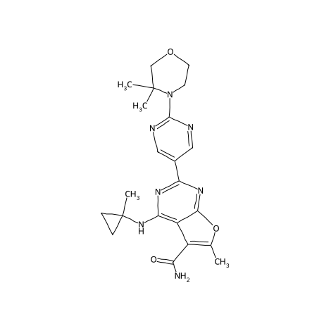 Cc1oc2nc(-c3cnc(N4CCOCC4(C)C)nc3)nc(NC3(C)CC3)c2c1C(N)=O